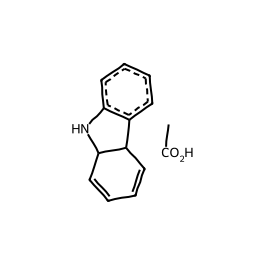 C1=CC2Nc3ccccc3C2C=C1.CC(=O)O